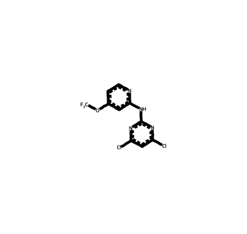 FC(F)(F)Oc1ccnc(Nc2nc(Cl)cc(Cl)n2)c1